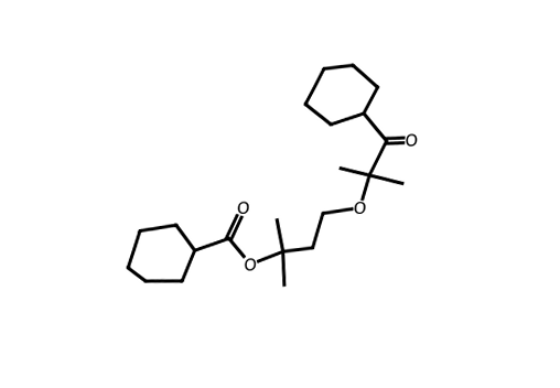 CC(C)(CCOC(C)(C)C(=O)C1CCCCC1)OC(=O)C1CCCCC1